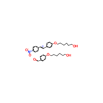 O=Cc1ccc(OCCCCCCO)cc1.O=[N+]([O-])c1ccc(/C=C/c2ccc(OCCCCCCO)cc2)cc1